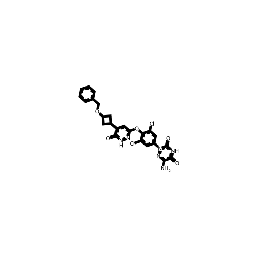 Nc1nn(-c2cc(Cl)c(Oc3cc(C4CC(OCc5ccccc5)C4)c(=O)[nH]n3)c(Cl)c2)c(=O)[nH]c1=O